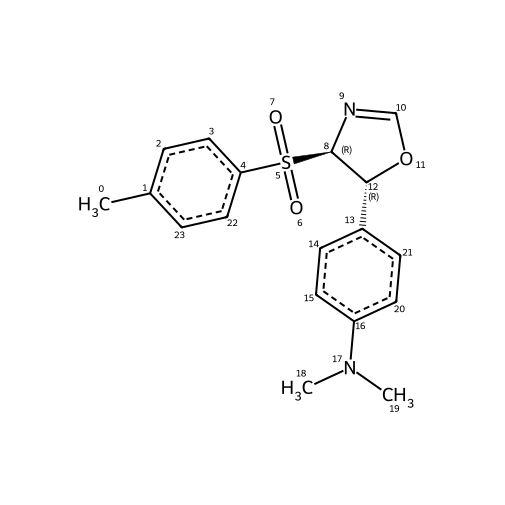 Cc1ccc(S(=O)(=O)[C@H]2N=CO[C@@H]2c2ccc(N(C)C)cc2)cc1